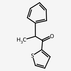 CC(C(=O)c1cccs1)c1ccccc1